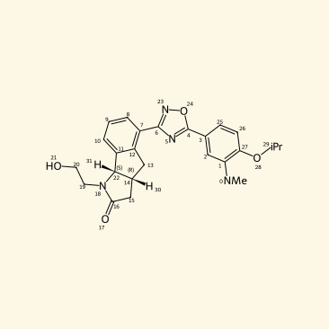 CNc1cc(-c2nc(-c3cccc4c3C[C@@H]3CC(=O)N(CCO)[C@H]43)no2)ccc1OC(C)C